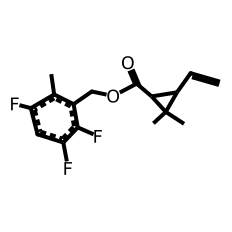 C=CC1C(C(=O)OCc2c(C)c(F)cc(F)c2F)C1(C)C